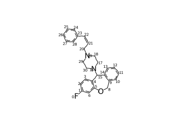 Fc1ccc2c(c1)OCc1ccccc1C2N1CCN(C/C=C\c2ccccc2)CC1